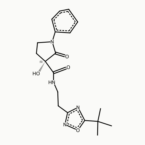 CC(C)(C)c1nc(CCNC(=O)[C@@]2(O)CCN(c3ccccc3)C2=O)no1